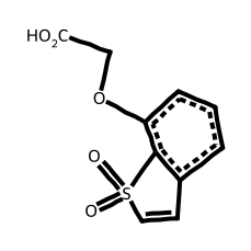 O=C(O)COc1cccc2c1S(=O)(=O)C=C2